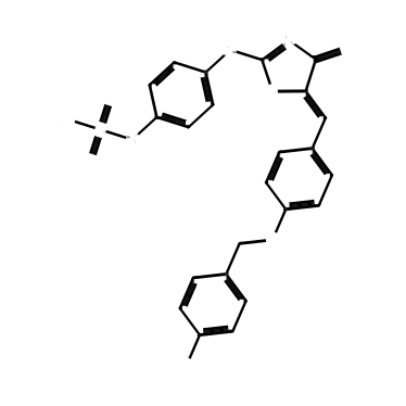 O=C1N=C(Nc2ccc(NS(=O)(=O)C(F)(F)F)cc2)S/C1=C\c1ccc(OCc2ccc(F)cc2)cc1